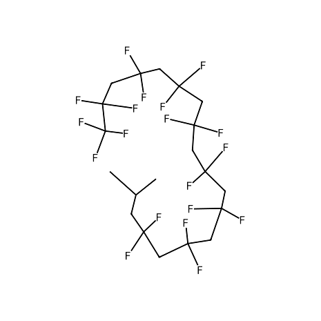 CC(C)CC(F)(F)CC(F)(F)CC(F)(F)CC(F)(F)CC(F)(F)CC(F)(F)CC(F)(F)CC(F)(F)C(F)(F)F